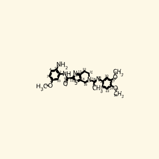 COc1ccc(N)c(NC(=O)c2nc3c(s2)CN(C(C)=Nc2ccc(OC)c(OC)c2)CC3)c1